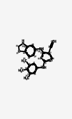 C#Cc1cnc(Nc2cc(C)c(C)c(C)c2)nc1Nc1ccc2c(c1)NCO2